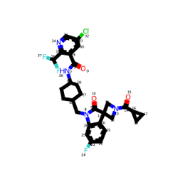 O=C(NC1CCC(CN2C(=O)C3(CN(C(=O)C4CC4)C3)c3ccc(F)cc32)CC1)c1cc(Cl)cnc1C(F)F